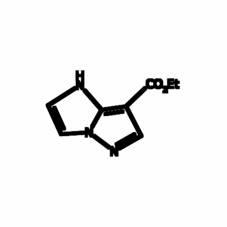 CCOC(=O)c1cnn2cc[nH]c12